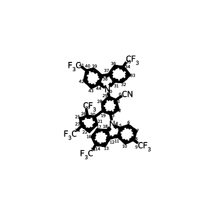 N#Cc1cc(-n2c3ccc(C(F)(F)F)cc3c3cc(C(F)(F)F)ccc32)c(-c2ccc(C(F)(F)F)cc2C(F)(F)F)cc1-n1c2ccc(C(F)(F)F)cc2c2cc(C(F)(F)F)ccc21